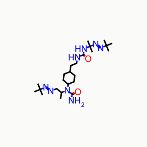 CC(CN=NC(C)(C)C)N(C(N)=O)C1CCC(CCNC(=O)NC(C)(C)N=NC(C)(C)C)CC1